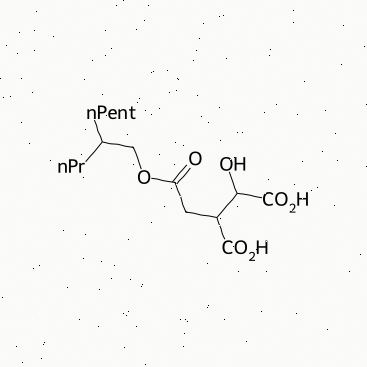 CCCCCC(CCC)COC(=O)CC(C(=O)O)C(O)C(=O)O